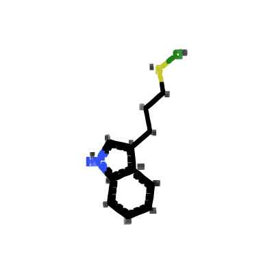 ClSCCCc1c[nH]c2ccccc12